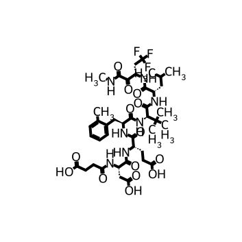 CNC(=O)C(=O)[C@H](CC(F)(F)F)NC(=O)[C@H](CC(C)C)NC(=O)[C@@H](NC(=O)[C@H](Cc1ccccc1C)NC(=O)[C@H](CCC(=O)O)NC(=O)[C@H](CC(=O)O)NC(=O)CCC(=O)O)C(C)(C)C